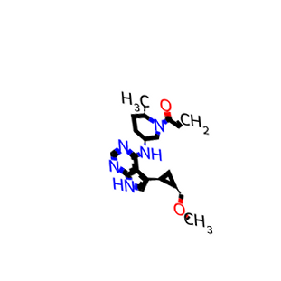 C=CC(=O)N1C[C@H](Nc2ncnc3[nH]cc([C@H]4C[C@@H]4COC)c23)CC[C@@H]1C